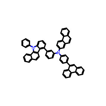 c1ccc(-n2c3cccc(-c4cccc(N(c5ccc(-c6cc7ccccc7c7ccccc67)cc5)c5ccc6c(ccc7ccccc76)c5)c4)c3c3ccc4ccccc4c32)cc1